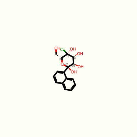 OC[C@H]1O[C@@](O)(c2cccc3ccccc23)[C@H](O)[C@@H](O)[C@]1(O)Cl